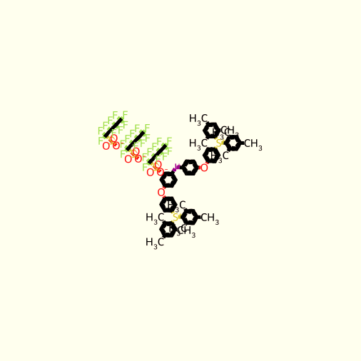 Cc1cc(C)c([S+](c2ccc(Oc3ccc([I+]c4ccc(Oc5ccc([S+](c6c(C)cc(C)cc6C)c6c(C)cc(C)cc6C)cc5)cc4)cc3)cc2)c2c(C)cc(C)cc2C)c(C)c1.O=S(=O)([O-])C(F)(F)C(F)(F)C(F)(F)C(F)(F)F.O=S(=O)([O-])C(F)(F)C(F)(F)C(F)(F)C(F)(F)F.O=S(=O)([O-])C(F)(F)C(F)(F)C(F)(F)C(F)(F)F